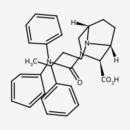 CC(CCN1[C@H]2CC[C@@H]1[C@@H](C(=O)O)N(C(=O)N(c1ccccc1)c1ccccc1)C2)c1ccccc1